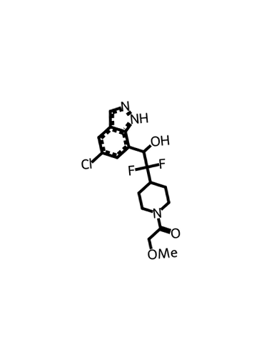 COCC(=O)N1CCC(C(F)(F)C(O)c2cc(Cl)cc3cn[nH]c23)CC1